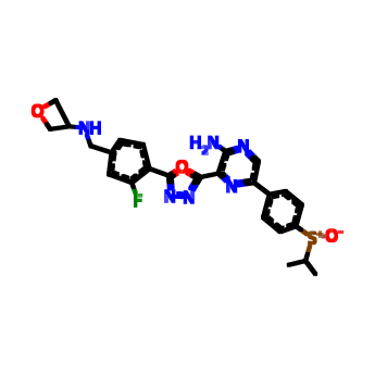 CC(C)[S+]([O-])c1ccc(-c2cnc(N)c(-c3nnc(-c4ccc(CNC5COC5)cc4F)o3)n2)cc1